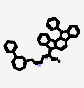 N/C(=C\C=C/CC1=CCC=CC(c2ccccc2)=C1)n1c2c(c3ccccc31)C1C(C=C2)c2ccccc2N1c1ccccc1